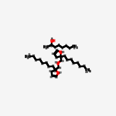 CCCCCCC(C)O.CCCCCCCCC1(COCC2(CCCCCCCC)CC=CO2)CC=CO1